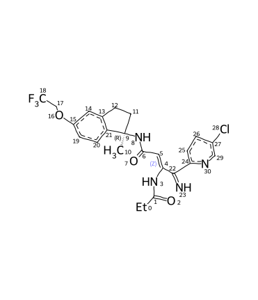 CCC(=O)N/C(=C\C(=O)N[C@]1(C)CCc2cc(OCC(F)(F)F)ccc21)C(=N)c1ccc(Cl)cn1